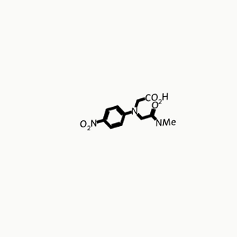 CNC(=O)CN(CC(=O)O)c1ccc([N+](=O)[O-])cc1